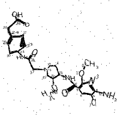 COc1nc(N)c(Cl)cc1C(=O)N[C@@H]1CCN(CC(=O)Nc2ccc(CC(=O)O)cc2)C[C@@H]1OC